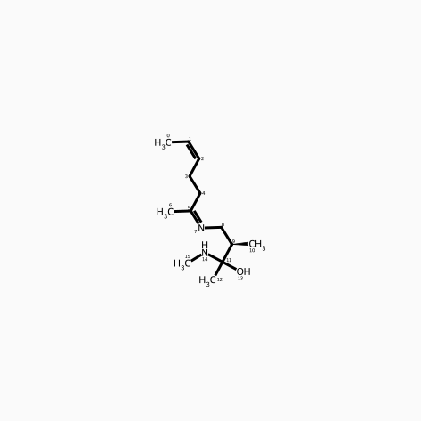 C/C=C\CC/C(C)=N\C[C@@H](C)C(C)(O)NC